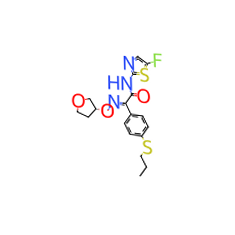 CCCSc1ccc(/C(=N\O[C@@H]2CCOC2)C(=O)Nc2ncc(F)s2)cc1